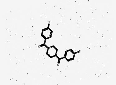 O=C(c1ccc(F)cc1)C1CCC(C(=O)c2ccc(F)cc2)CC1